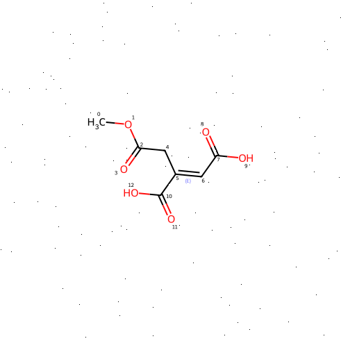 COC(=O)C/C(=C\C(=O)O)C(=O)O